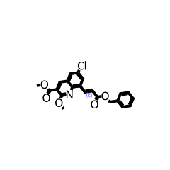 COC(=O)c1cc2cc(Cl)cc(/C=C/C(=O)OCc3ccccc3)c2nc1OC